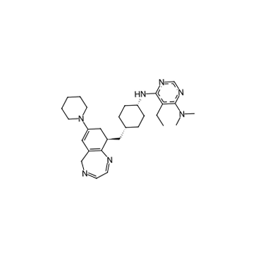 CCc1c(N[C@H]2CC[C@@H](C[C@@H]3CC(N4CCCCC4)=CC4=C3N=CC=NC4)CC2)ncnc1N(C)C